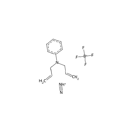 C=CCN(CC=C)c1ccccc1.F[B-](F)(F)F.N#[NH+]